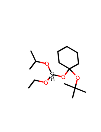 CCO[SiH](OC(C)C)OC1(OC(C)(C)C)CCCCC1